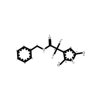 O=C(OCc1ccccc1)C(F)(F)c1cc(Cl)sc1Cl